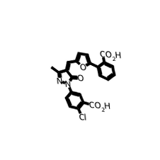 CC1=NN(c2ccc(Cl)c(C(=O)O)c2)C(=O)C1=Cc1ccc(-c2ccccc2C(=O)O)o1